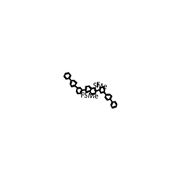 CSc1c(-c2cc(-c3ccc(-c4ccccc4)cc3)ccc2F)ccc2c(SC)c(-c3cc(-c4ccc(-c5ccccc5)cc4)ccc3F)ccc12